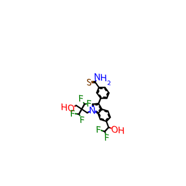 NC(=S)c1cccc(-c2cn(CC(CO)(C(F)F)C(F)F)c3cc(C(O)C(F)F)ccc23)c1